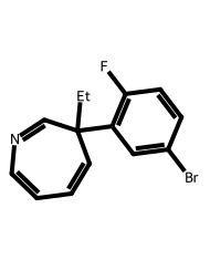 CCC1(c2cc(Br)ccc2F)C=CC=CN=C1